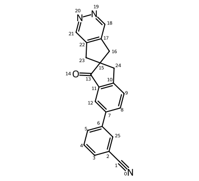 N#Cc1cccc(-c2ccc3c(c2)C(=O)C2(Cc4cnncc4C2)C3)c1